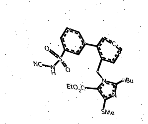 CCCCc1nc(SC)c(C(=O)OCC)n1Cc1ccccc1-c1cccc(S(=O)(=O)NC#N)c1